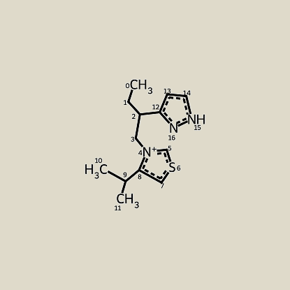 CCC(C[n+]1cscc1C(C)C)c1cc[nH]n1